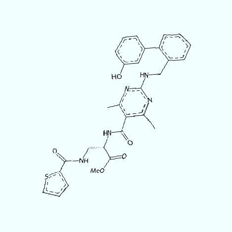 COC(=O)[C@H](CNC(=O)c1cccs1)NC(=O)c1c(C)nc(NCc2ccccc2-c2cccc(O)c2)nc1C